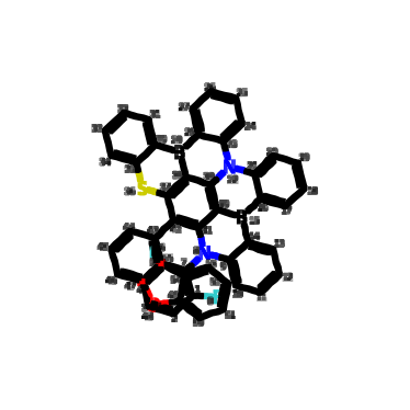 Fc1cccc(F)c1N1c2ccccc2B2c3ccccc3N3c4ccccc4B4c5ccccc5Sc5c4c3c2c1c5-c1cccc2oc3ccccc3c12